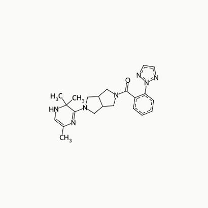 CC1=CNC(C)(C)C(N2CC3CN(C(=O)c4ccccc4-n4nccn4)CC3C2)=N1